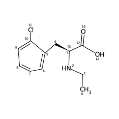 CCN[C@@H](Cc1ccccc1Cl)C(=O)O